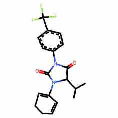 CC(C)C1C(=O)N(c2ccc(C(F)(F)F)cc2)C(=O)N1C1=CCCC=C1